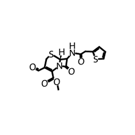 COC(=O)C1=C(C=O)CS[C@@H]2C(NC(=O)Cc3cccs3)C(=O)N12